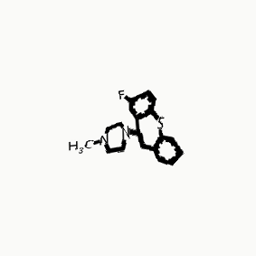 CN1CCN(C2=Cc3ccccc3Sc3ccc(F)cc32)CC1